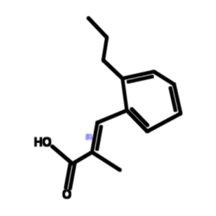 CCCc1ccccc1/C=C(\C)C(=O)O